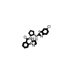 O=C(N[C@@H]1CCC[C@@H]1Nc1nc2ccc(Cl)cc2s1)c1ccccc1-n1nccn1